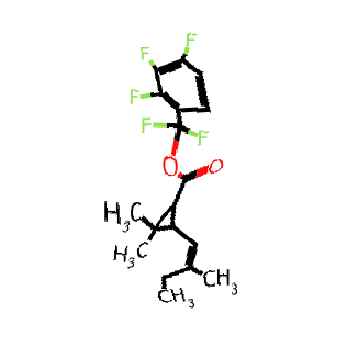 CCC(C)=CC1C(C(=O)OC(F)(F)c2ccc(F)c(F)c2F)C1(C)C